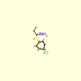 C[CH]C(N)Sc1ccc(Cl)cc1